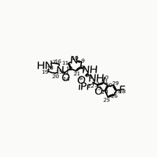 Cc1c([C@@H](NC(=O)Nc2cncc(C(=O)N3CCNCC3)c2)C(C)C)oc2ccc(F)cc12